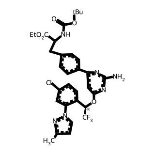 CCOC(=O)C(Cc1ccc(-c2cc(O[C@H](c3ccc(Cl)cc3-n3ccc(C)n3)C(F)(F)F)nc(N)n2)cc1)NC(=O)OC(C)(C)C